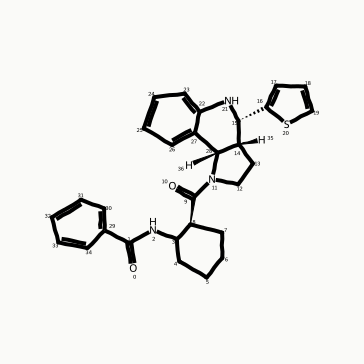 O=C(NC1CCCC[C@@H]1C(=O)N1CC[C@H]2[C@@H](c3cccs3)Nc3ccccc3[C@H]21)c1ccccc1